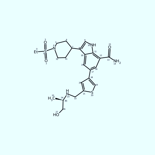 CCS(=O)(=O)N1CCC(c2c[nH]c3c(C(N)=O)cc(-c4csc(CN[C@H](C)CO)c4)cc23)CC1